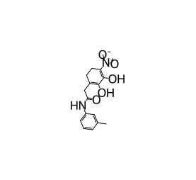 Cc1cccc(NC(=O)CC2=C(O)C(O)=C([N+](=O)[O-])CC2)c1